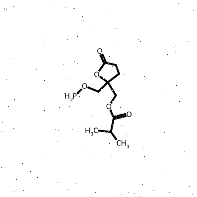 CC(C)C(=O)OCC1(COP)CCC(=O)O1